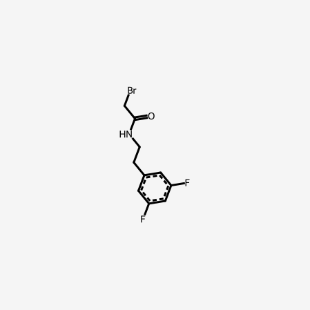 O=C(CBr)NCCc1cc(F)cc(F)c1